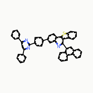 c1ccc(-c2cc(-c3ccccc3)nc(-c3ccc(-c4ccc5c(c4)nc(-c4cc6ccccc6c6ccccc46)c4c6ccccc6sc54)cc3)n2)cc1